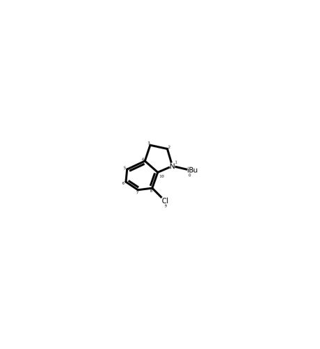 CCC(C)N1CCc2cccc(Cl)c21